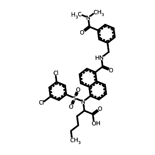 CCCCC(C(=O)O)N(c1cccc2c(C(=O)NCc3cccc(C(=O)N(C)C)c3)cccc12)S(=O)(=O)c1cc(Cl)cc(Cl)c1